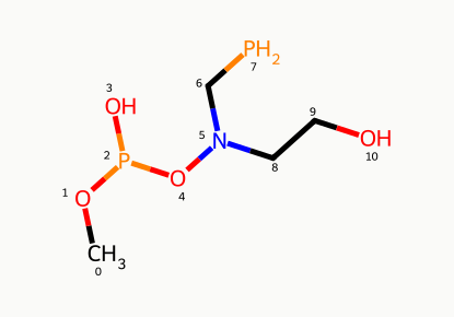 COP(O)ON(CP)CCO